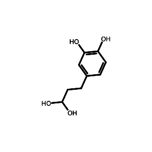 Oc1ccc(CCC(O)O)cc1O